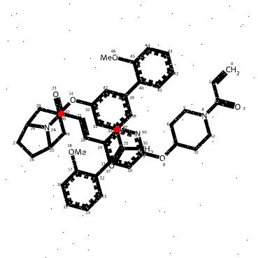 C=CC(=O)N1CCC(Oc2cc(-c3ccccc3OC)c(/C=C/C(=O)N3C4CCC3CC(Oc3cc(C(N)=O)cc(-c5ccccc5OC)c3)C4)nn2)CC1